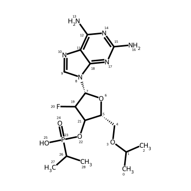 CC(C)OC[C@H]1O[C@@H](n2cnc3c(N)nc(N)nc32)C(F)C1OP(=O)(O)C(C)C